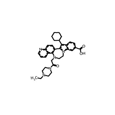 CCN1CCN(C(=O)CN2CCn3c(c(C4CCCCC4)c4ccc(C(=O)O)cc43)-c3ccc4ncccc4c32)CC1